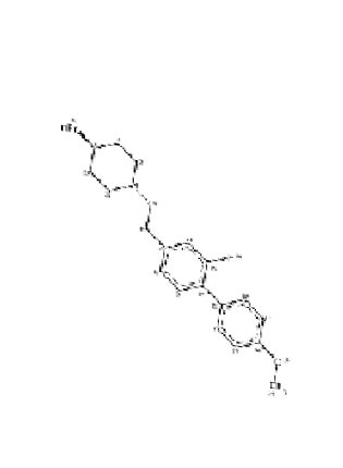 CCC[C@H]1CC[C@H](CCc2ccc(-c3ccc(OC(F)(F)F)cc3)c(F)c2)CC1